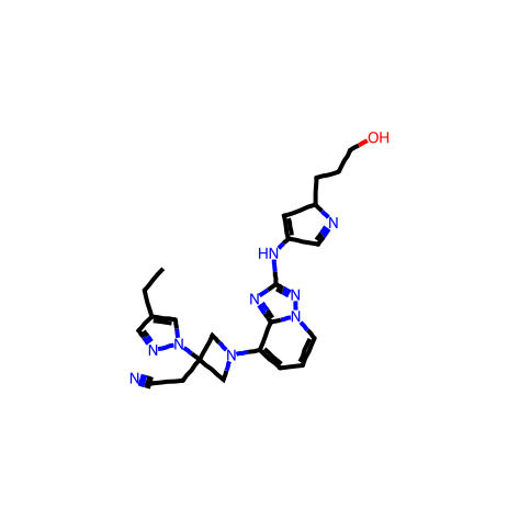 CCc1cnn(C2(CC#N)CN(c3cccn4nc(NC5=CC(CCCO)N=C5)nc34)C2)c1